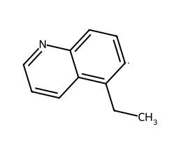 CCc1[c]ccc2ncccc12